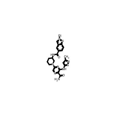 CCn1cc2cc(C(=O)NC3CCCN(c4cnc(C(N)=O)c(Nc5cc(C)ns5)n4)C3)ccc2n1